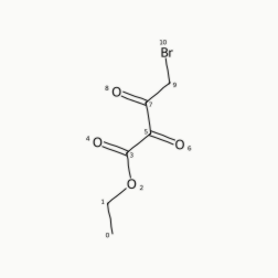 CCOC(=O)C(=O)C(=O)CBr